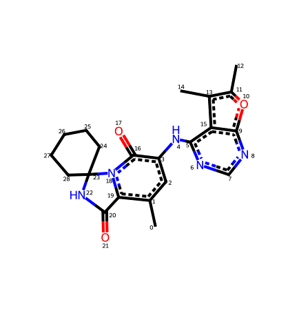 Cc1cc(Nc2ncnc3oc(C)c(C)c23)c(=O)n2c1C(=O)NC21CCCCC1